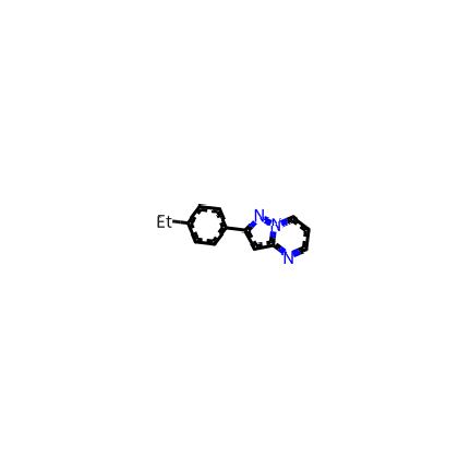 CCc1ccc(-c2cc3ncccn3n2)cc1